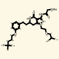 CSCC(=O)Nc1nn(CCOCC(F)F)c2c1C(=O)NC(CCc1cccc(OCCCC(C)(F)F)c1)C2